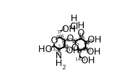 Cl.N[C@H]1C(O)O[C@H](CO)[C@@H](O[C@@H]2O[C@H](CO)[C@H](O)[C@H](O)[C@H]2O)[C@@H]1O